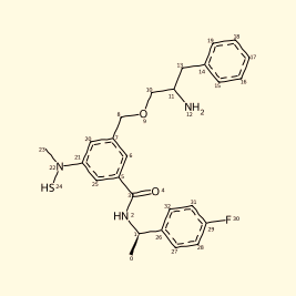 C[C@@H](NC(=O)c1cc(COCC(N)Cc2ccccc2)cc(N(C)S)c1)c1ccc(F)cc1